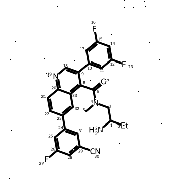 CCC(N)CN(C)C(=O)c1c(-c2cc(F)cc(F)c2)cnc2ccc(-c3cc(F)cc(C#N)c3)cc12